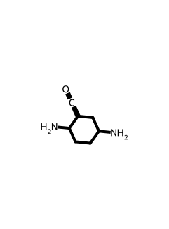 NC1CCC(N)C(=C=O)C1